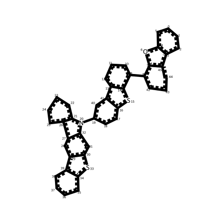 c1ccc2c(c1)oc1c(-c3cccc4c3sc3ccc(-n5c6ccccc6c6cc7c(cc65)sc5ccccc57)cc34)cccc12